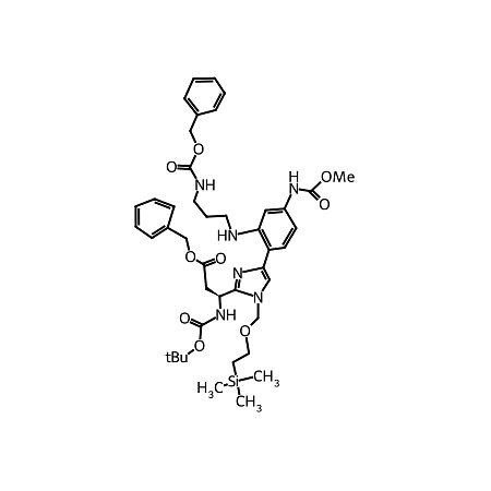 COC(=O)Nc1ccc(-c2cn(COCC[Si](C)(C)C)c([C@H](CC(=O)OCc3ccccc3)NC(=O)OC(C)(C)C)n2)c(NCCCNC(=O)OCc2ccccc2)c1